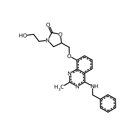 Cc1nc(NCc2ccccc2)c2cccc(OCC3CN(CCO)C(=O)O3)c2n1